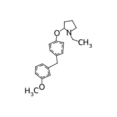 CCN1CCCC1Oc1ccc(Cc2cccc(OC)c2)cc1